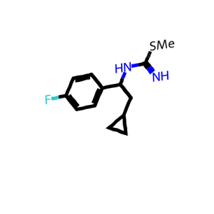 CSC(=N)NC(CC1CC1)c1ccc(F)cc1